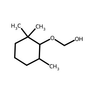 CC1CCCC(C)(C)C1OCO